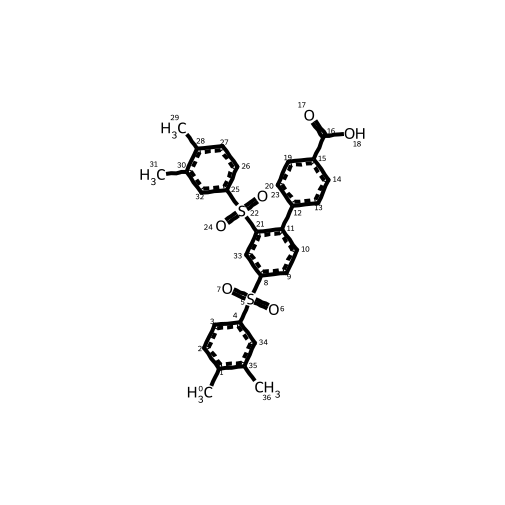 Cc1ccc(S(=O)(=O)c2ccc(-c3ccc(C(=O)O)cc3)c(S(=O)(=O)c3ccc(C)c(C)c3)c2)cc1C